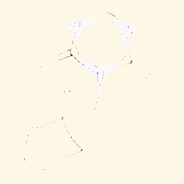 CC1(Cn2c(=O)nc[nH]c2=O)CCCC1